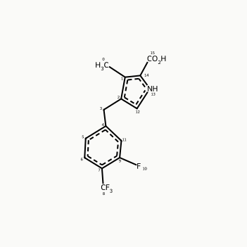 Cc1c(Cc2ccc(C(F)(F)F)c(F)c2)c[nH]c1C(=O)O